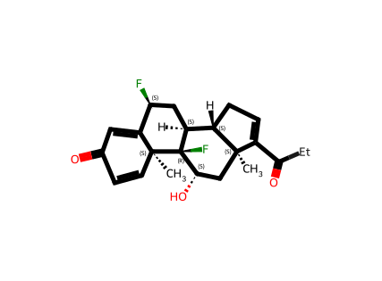 CCC(=O)C1=CC[C@H]2[C@@H]3C[C@H](F)C4=CC(=O)C=C[C@]4(C)[C@@]3(F)[C@@H](O)C[C@]12C